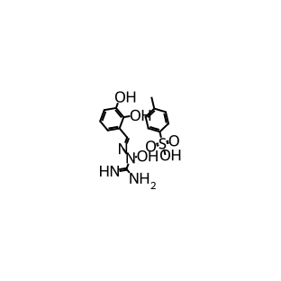 Cc1ccc(S(=O)(=O)O)cc1.N=C(N)N(O)/N=C/c1cccc(O)c1O